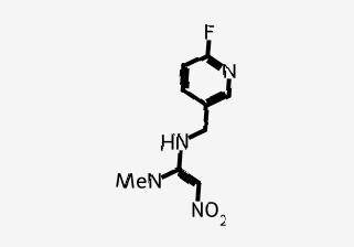 CNC(=C[N+](=O)[O-])NCc1ccc(F)nc1